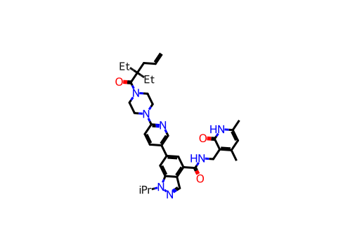 C=CCC(CC)(CC)C(=O)N1CCN(c2ccc(-c3cc(C(=O)NCc4c(C)cc(C)[nH]c4=O)c4cnn(C(C)C)c4c3)cn2)CC1